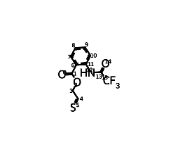 O=C(OCC=S)c1ccccc1NC(=O)C(F)(F)F